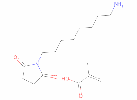 C=C(C)C(=O)O.NCCCCCCCCN1C(=O)CCC1=O